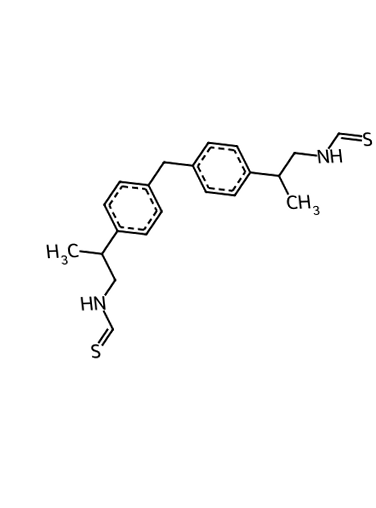 CC(CNC=S)c1ccc(Cc2ccc(C(C)CNC=S)cc2)cc1